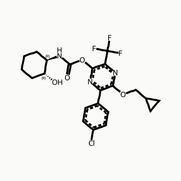 O=C(N[C@@H]1CCCC[C@H]1O)Oc1nc(-c2ccc(Cl)cc2)c(OCC2CC2)nc1C(F)(F)F